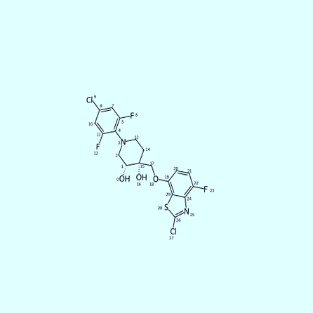 O[C@@H]1CN(c2c(F)cc(Cl)cc2F)CC[C@@]1(O)COc1ccc(F)c2nc(Cl)sc12